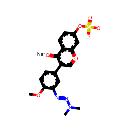 COc1ccc(-c2coc3cc(OS(=O)(=O)[O-])ccc3c2=O)cc1N=NN(C)C.[Na+]